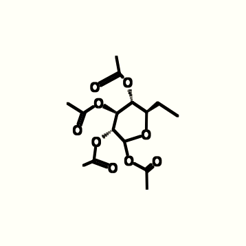 CC[C@H]1OC(OC(C)=O)[C@H](OC(C)=O)[C@@H](OC(C)=O)[C@@H]1OC(C)=O